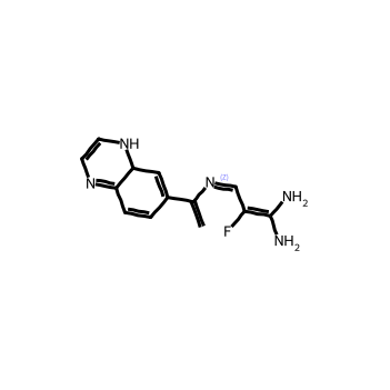 C=C(/N=C\C(F)=C(N)N)C1=CC2NC=CN=C2C=C1